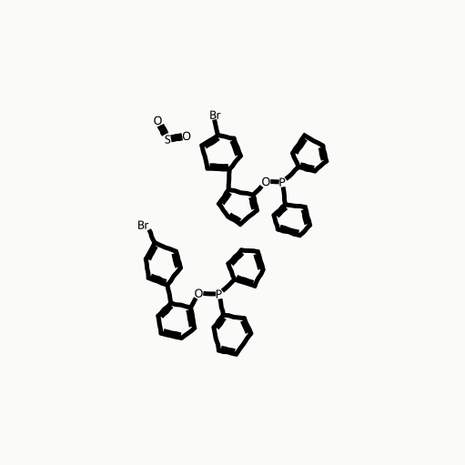 Brc1ccc(-c2ccccc2OP(c2ccccc2)c2ccccc2)cc1.Brc1ccc(-c2ccccc2OP(c2ccccc2)c2ccccc2)cc1.O=S=O